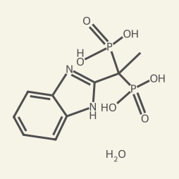 CC(c1nc2ccccc2[nH]1)(P(=O)(O)O)P(=O)(O)O.O